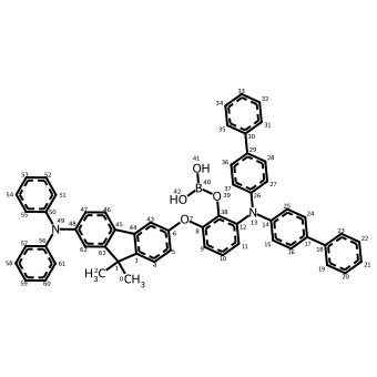 CC1(C)c2ccc(Oc3cccc(N(c4ccc(-c5ccccc5)cc4)c4ccc(-c5ccccc5)cc4)c3OB(O)O)cc2-c2ccc(N(c3ccccc3)c3ccccc3)cc21